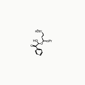 CCCCCCCCCCCCC(CCC)OC(O)C(=O)c1ccccc1